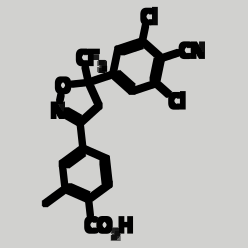 Cc1cc(C2=NOC(c3cc(Cl)c(C#N)c(Cl)c3)(C(F)(F)F)C2)ccc1C(=O)O